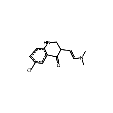 CN(C)C=CC1CNc2ccc(Cl)cc2C1=O